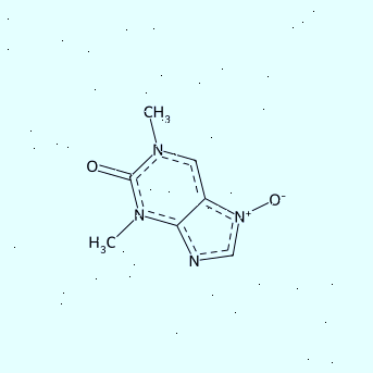 Cn1cc2[n+]([O-])cnc-2n(C)c1=O